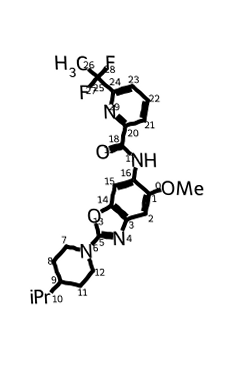 COc1cc2nc(N3CCC(C(C)C)CC3)oc2cc1NC(=O)c1cccc(C(C)(F)F)n1